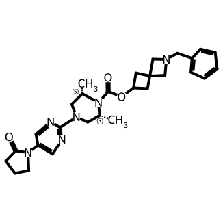 C[C@@H]1CN(c2ncc(N3CCCC3=O)cn2)C[C@H](C)N1C(=O)OC1CC2(C1)CN(Cc1ccccc1)C2